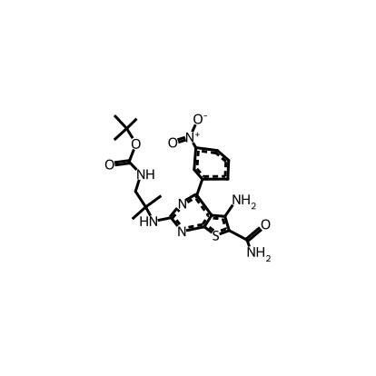 CC(C)(CNC(=O)OC(C)(C)C)Nc1nc(-c2cccc([N+](=O)[O-])c2)c2c(N)c(C(N)=O)sc2n1